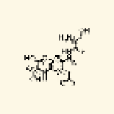 CC(=O)C[C@H](NC(=O)N[C@H](C(=O)O)C(C)O)C(=O)N(C)NC(=O)[C@@H](N)CO